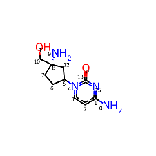 Nc1ccn(C2CC[C@@](N)(CO)C2)c(=O)n1